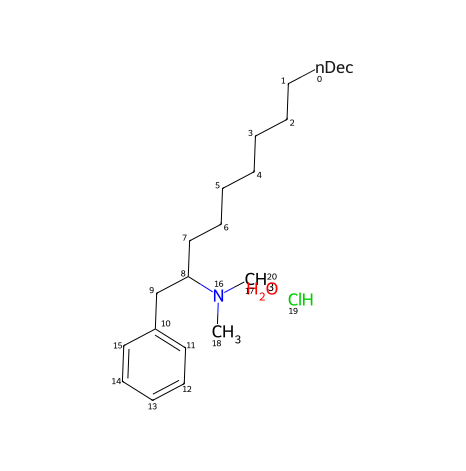 CCCCCCCCCCCCCCCCCC(Cc1ccccc1)N(C)C.Cl.O